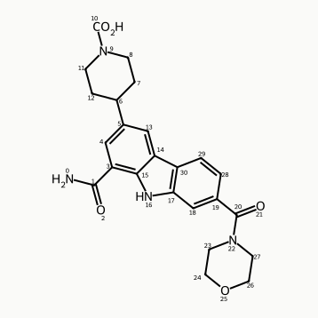 NC(=O)c1cc(C2CCN(C(=O)O)CC2)cc2c1[nH]c1cc(C(=O)N3CCOCC3)ccc12